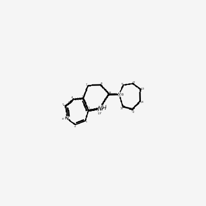 C1=CC2=C(CC=N1)CCC(N1CCCCCC1)N2